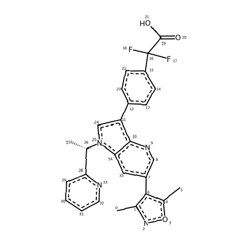 Cc1noc(C)c1-c1cnc2c(-c3ccc(C(F)(F)C(=O)O)cc3)cn([C@@H](C)c3ccccn3)c2c1